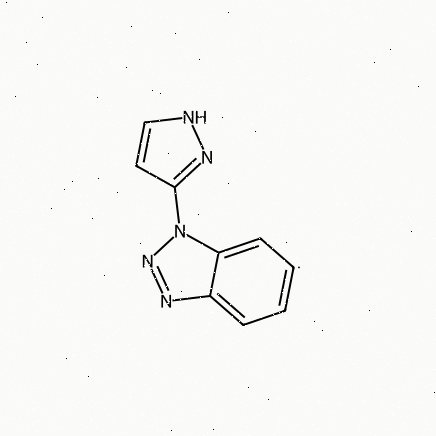 [c]1ccc2nnn(-c3cc[nH]n3)c2c1